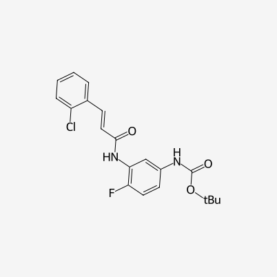 CC(C)(C)OC(=O)Nc1ccc(F)c(NC(=O)C=Cc2ccccc2Cl)c1